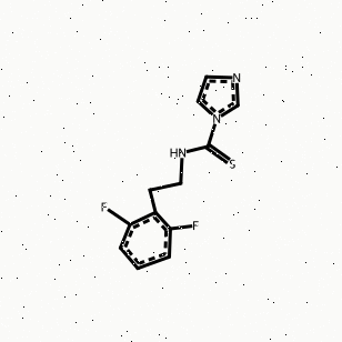 Fc1cccc(F)c1CCNC(=S)n1ccnc1